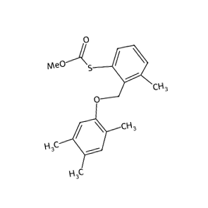 COC(=O)Sc1cccc(C)c1COc1cc(C)c(C)cc1C